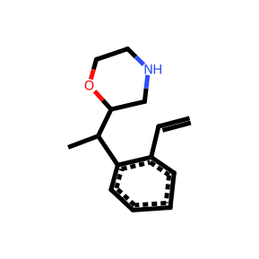 C=Cc1ccccc1C(C)C1CNCCO1